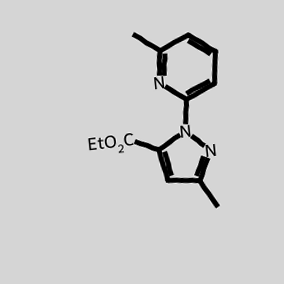 CCOC(=O)c1cc(C)nn1-c1cccc(C)n1